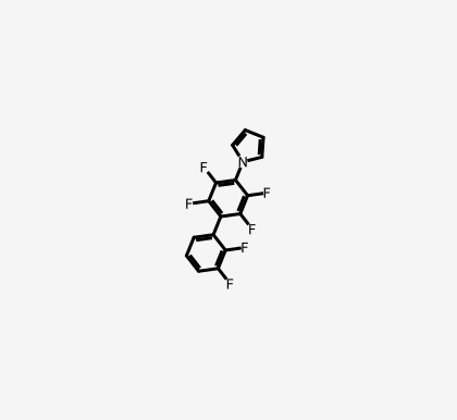 Fc1cccc(-c2c(F)c(F)c(-n3cccc3)c(F)c2F)c1F